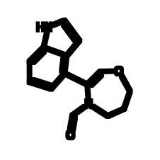 O=CN1CCCOC=C1c1cccc2[nH]ccc12